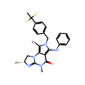 CCc1c2c(c(Nc3ccccc3)n1Cc1ccc(C(C)(F)F)cc1)C(=O)N(C)C1=N[C@H](C(C)C)CN12